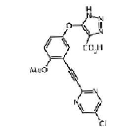 COc1ccc(Oc2[nH]nnc2C(=O)O)cc1C#Cc1ncc(Cl)cn1